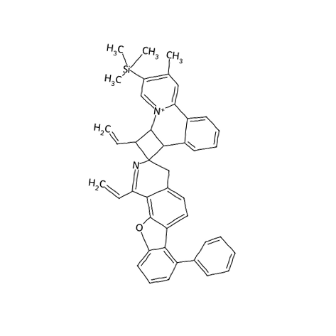 C=CC1=NC2(Cc3ccc4c(oc5cccc(-c6ccccc6)c54)c31)C(C=C)C1C2c2ccccc2-c2cc(C)c([Si](C)(C)C)c[n+]21